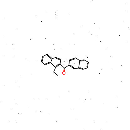 CCc1c(C(=O)c2ccc3ccccc3c2)ccc2ccccc12